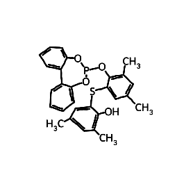 Cc1cc(C)c(O)c(Sc2cc(C)cc(C)c2Op2oc3ccccc3c3ccccc3o2)c1